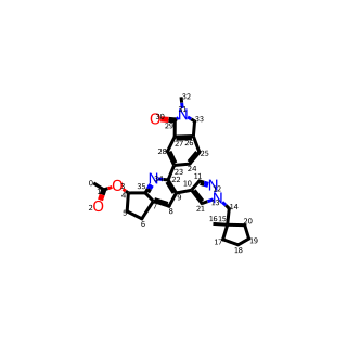 CC(=O)OC1CCc2cc(-c3cnn(CC4(C)CCCC4)c3)c(-c3ccc4c(c3)C(=O)N(C)C4)nc21